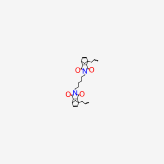 C=CCC12C=CC(C1)C1C(=O)N(CCCCCCN3C(=O)C4C5C=CC(CC=C)(C5)C4C3=O)C(=O)C12